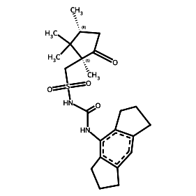 C[C@@H]1CC(=O)[C@@](C)(CS(=O)(=O)NC(=O)Nc2c3c(cc4c2CCC4)CCC3)C1(C)C